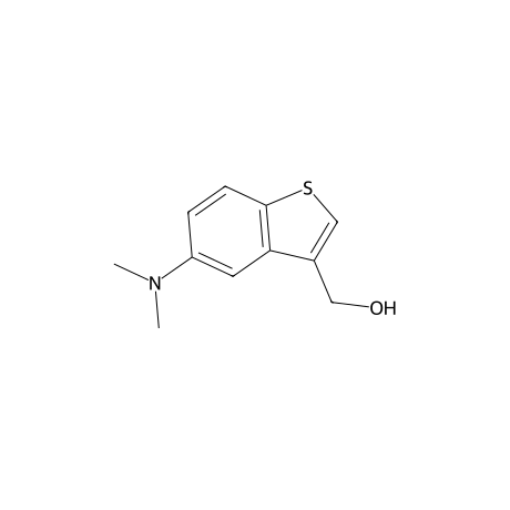 CN(C)c1ccc2scc(CO)c2c1